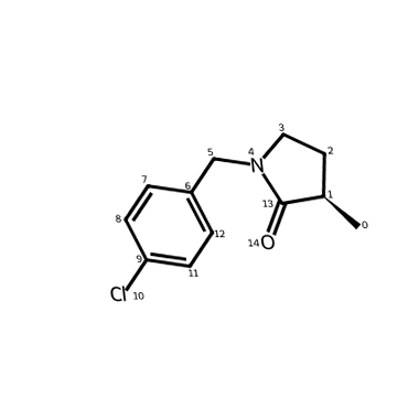 C[C@@H]1CCN(Cc2ccc(Cl)cc2)C1=O